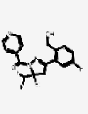 CCC1(C(F)F)CC(c2cc(F)ccc2CO)=NN1C(=O)c1ccncc1